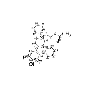 CC(F)CCC[Si]1(c2ccccc2)CCC(c2cc(F)c(O)c(F)c2-c2ccccc2)CC1